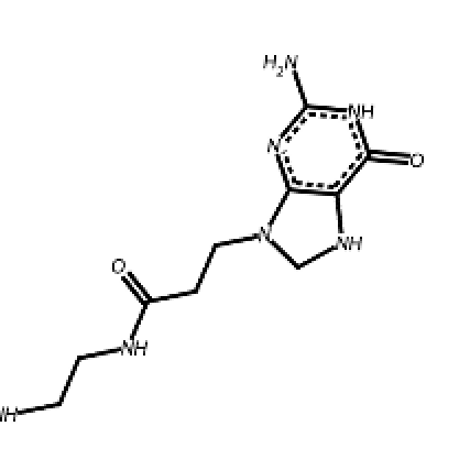 CC(=O)NCCNC(=O)CCN1CNc2c1nc(N)[nH]c2=O